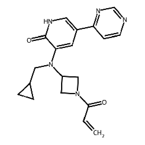 C=CC(=O)N1CC(N(CC2CC2)c2cc(-c3ccncn3)c[nH]c2=O)C1